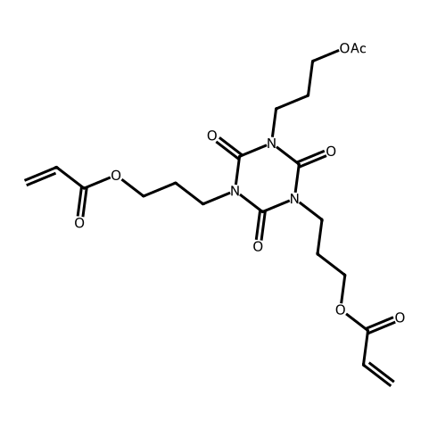 C=CC(=O)OCCCn1c(=O)n(CCCOC(C)=O)c(=O)n(CCCOC(=O)C=C)c1=O